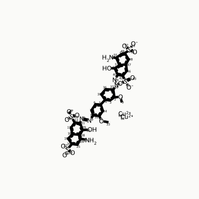 COc1cc(-c2ccc(N=Nc3c(S(=O)(=O)[O-])cc4cc(S(=O)(=O)[O-])cc(N)c4c3O)c(OC)c2)ccc1N=Nc1c(S(=O)(=O)[O-])cc2cc(S(=O)(=O)[O-])cc(N)c2c1O.[Cu+2].[Cu+2]